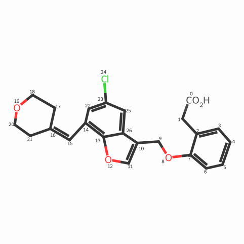 O=C(O)Cc1ccccc1OCc1coc2c(C=C3CCOCC3)cc(Cl)cc12